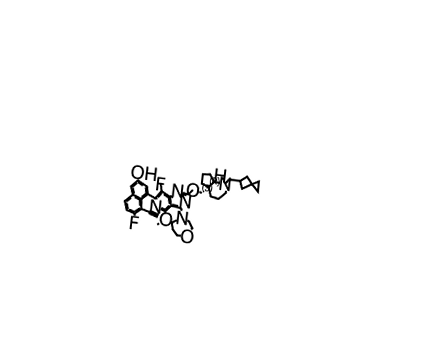 C#Cc1c(F)ccc2cc(O)cc(-c3nc(OC)c4c(N5CCCOCC5)nc(OC[C@]56CCC[C@H]5N(CC5CC7(CC7)C5)CCC6)nc4c3F)c12